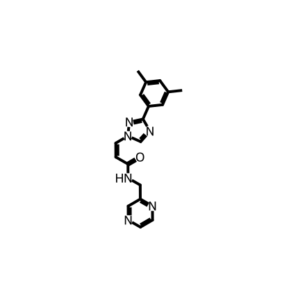 Cc1cc(C)cc(-c2ncn(/C=C\C(=O)NCc3cnccn3)n2)c1